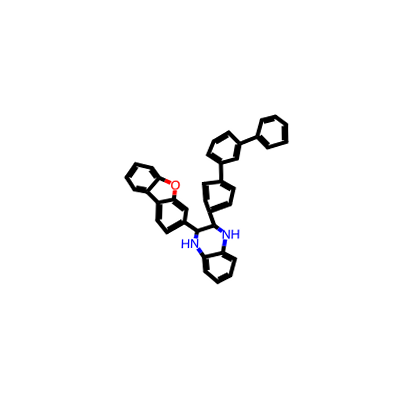 c1ccc(-c2cccc(-c3ccc(C4Nc5ccccc5NC4c4ccc5c(c4)oc4ccccc45)cc3)c2)cc1